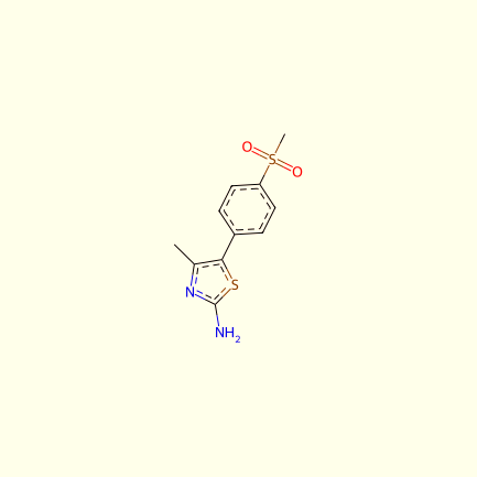 Cc1nc(N)sc1-c1ccc(S(C)(=O)=O)cc1